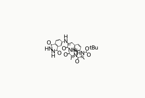 C[C@H](NC(=O)OC(C)(C)C)C(=O)N[C@@H](C)C(=O)NC(=O)[C@H](Cc1ccccc1)Nc1ccc2c(=O)[nH][nH]c(=O)c2c1